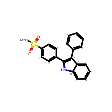 CC(=O)NS(=O)(=O)c1ccc(-c2[nH]c3ccccc3c2-c2ccccc2)cc1